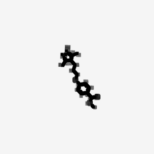 COC(=O)c1ccc(OCCCc2c(C)n[nH]c2C)cc1